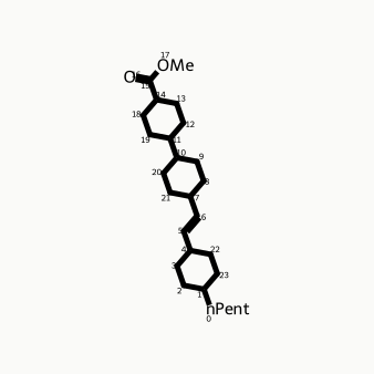 CCCCCC1CCC(C=CC2CCC(C3CCC(C(=O)OC)CC3)CC2)CC1